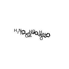 C[C@H]1CO[C@@H](c2ccc(N)nc2)CN1CC[C@]1(O)CC[C@@H](CNC(=O)c2cc3ccccc3[nH]2)C1